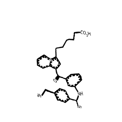 CCCC(Nc1cccc(C(=O)c2cc(CCCCCC(=O)O)n3ccccc23)c1)c1ccc(CC(C)C)cc1